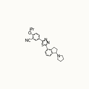 CC(C)Oc1ccc(-c2nnc(-c3cccc4c3CCC4N3CCCC3)s2)cc1C#N